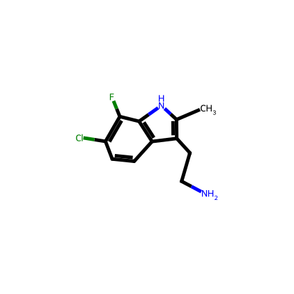 Cc1[nH]c2c(F)c(Cl)ccc2c1CCN